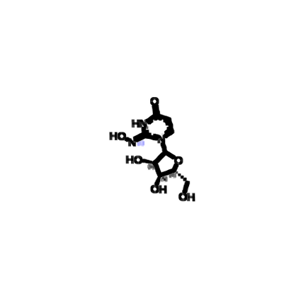 O=c1ccn(C2O[C@H](CO)[C@@H](O)[C@H]2O)/c(=N/O)[nH]1